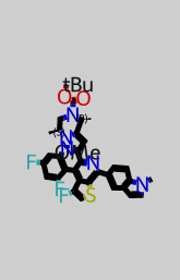 COc1cc(F)cc(F)c1-c1c(-c2cc3n(n2)[C@@H](C)CN(C(=O)OC(C)(C)C)[C@@H]3C)nc(-c2ccc3c(ccn3C)c2)c2scc(F)c12